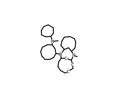 CN(C1CCCCCCC1)C1CCCCCCCC(B2C3CCCCCCCC(C3)N(C)C3CCCCCCCC2C3)C1